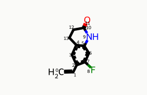 C=Cc1cc2c(cc1F)NC(=O)CC2